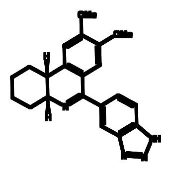 COc1cc2c(cc1OC)[C@H]1CCCC[C@H]1N=C2c1ccc2[nH]nnc2c1